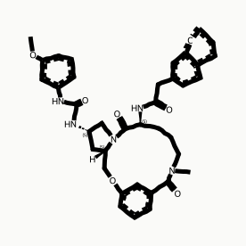 COc1cccc(NC(=O)N[C@H]2C[C@H]3COc4cccc(c4)C(=O)N(C)CCC[C@H](NC(=O)Cc4ccc5ccccc5c4)C(=O)N3C2)c1